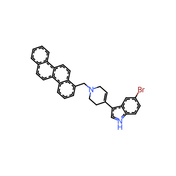 Brc1ccc2[nH]cc(C3=CCN(Cc4cccc5c4ccc4c6ccccc6ccc54)CC3)c2c1